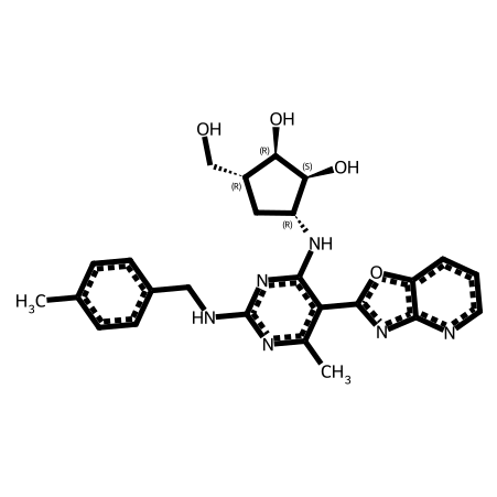 Cc1ccc(CNc2nc(C)c(-c3nc4ncccc4o3)c(N[C@@H]3C[C@H](CO)[C@@H](O)[C@H]3O)n2)cc1